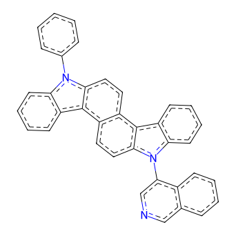 c1ccc(-n2c3ccccc3c3c4ccc5c(c4ccc32)c2ccccc2n5-c2cncc3ccccc23)cc1